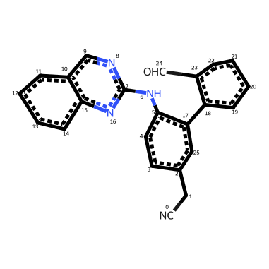 N#CCc1ccc(Nc2ncc3ccccc3n2)c(-c2ccccc2C=O)c1